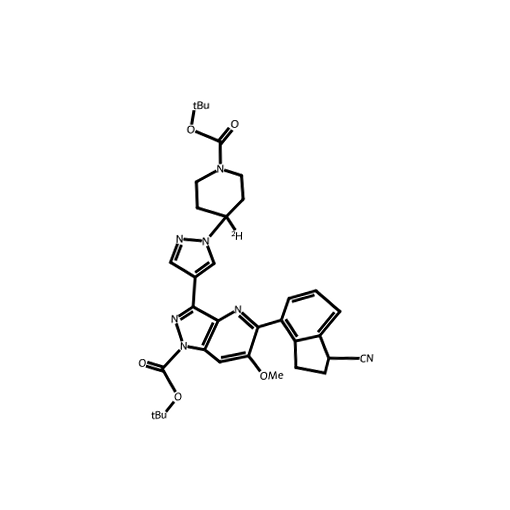 [2H]C1(n2cc(-c3nn(C(=O)OC(C)(C)C)c4cc(OC)c(-c5cccc6c5CCC6C#N)nc34)cn2)CCN(C(=O)OC(C)(C)C)CC1